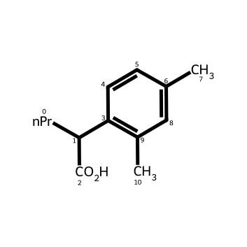 CCCC(C(=O)O)c1ccc(C)cc1C